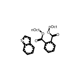 CCCCCCCCOC(=O)c1ccccc1C(=O)OCCCCCCCC.c1ccc2sccc2c1